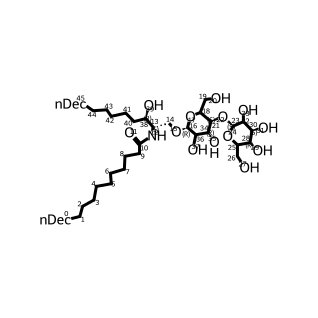 CCCCCCCCCCCCCCCCCCCC(=O)N[C@@H](CO[C@@H]1OC(CO)[C@@H](O[C@@H]2OC(CO)[C@H](O)[C@H](O)C2O)[C@H](O)C1O)[C@H](O)CCCCCCCCCCCCCCC